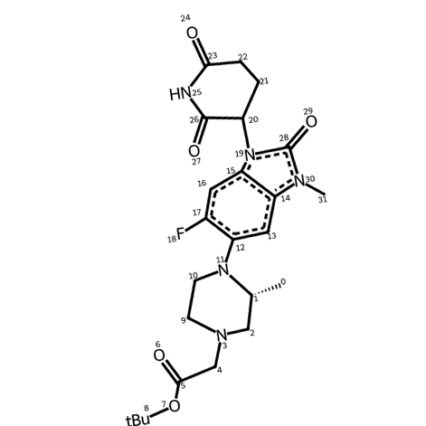 C[C@@H]1CN(CC(=O)OC(C)(C)C)CCN1c1cc2c(cc1F)n(C1CCC(=O)NC1=O)c(=O)n2C